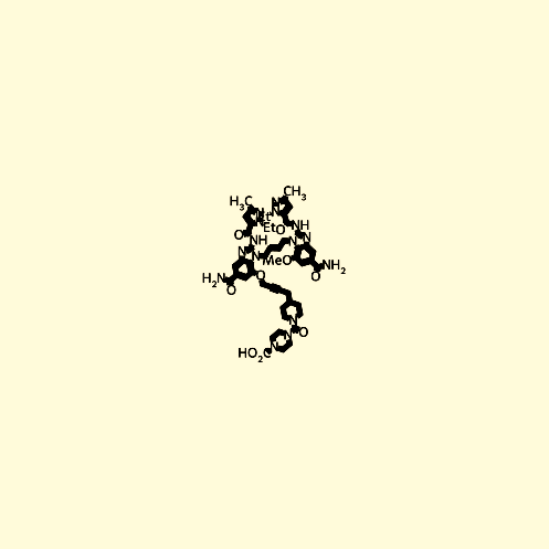 CCn1nc(C)cc1C(=O)Nc1nc2cc(C(N)=O)cc(OC)c2n1C/C=C/Cn1c(NC(=O)c2cc(C)nn2CC)nc2cc(C(N)=O)cc(OCC#CCC3CCN(C(=O)N4CCN(C(=O)O)CC4)CC3)c21